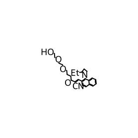 CCC1CCN1c1c(/C=C(\C#N)C(=O)CCCOCCOCCO)ccc2ccccc12